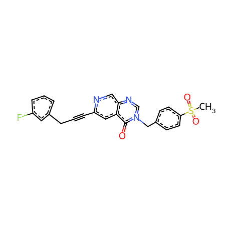 CS(=O)(=O)c1ccc(Cn2cnc3cnc(C#CCc4cccc(F)c4)cc3c2=O)cc1